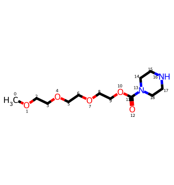 COCCOCCOCCOC(=O)N1CCNCC1